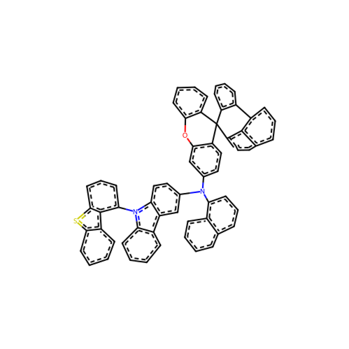 c1ccc2c(c1)Oc1cc(N(c3ccc4c(c3)c3ccccc3n4-c3cccc4sc5ccccc5c34)c3cccc4ccccc34)ccc1C21c2ccccc2-c2cccc3cccc1c23